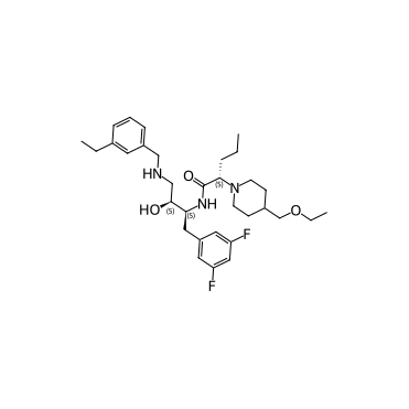 CCC[C@@H](C(=O)N[C@@H](Cc1cc(F)cc(F)c1)[C@@H](O)CNCc1cccc(CC)c1)N1CCC(COCC)CC1